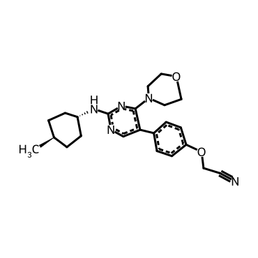 C[C@H]1CC[C@H](Nc2ncc(-c3ccc(OCC#N)cc3)c(N3CCOCC3)n2)CC1